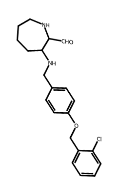 O=CC1NCCCCC1NCc1ccc(OCc2ccccc2Cl)cc1